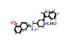 CCCN(CC1CCN(C=O)C(c2coc3ccccc23)C1)C1CCc2c(O)cccc2C1